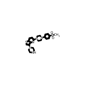 CS(=O)(=O)c1ccc(N2CCN(c3ccc4scc(N5CCNCC5)c4n3)CC2)cc1